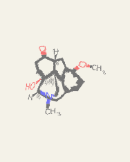 COc1ccc2c3c1C[C@H]1C(=O)CC[C@@]4(O)[C@@H](C2)N(C)CC[C@]314